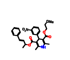 COCCOC(=O)C1=C(C)NC(C)=C(C(=O)OC(C)C=Cc2ccccc2)C1c1cccc([N+](=O)[O-])c1